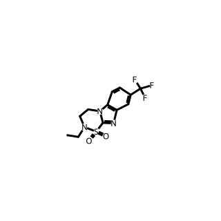 CCN1CCn2c(nc3cc(C(F)(F)F)ccc32)S1(=O)=O